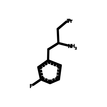 CC(C)CC(N)Cc1cccc(F)c1